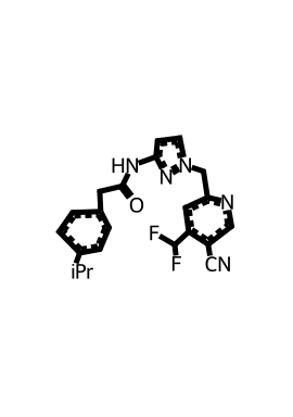 CC(C)c1ccc(CC(=O)Nc2ccn(Cc3cc(C(F)F)c(C#N)cn3)n2)cc1